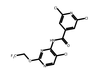 O=C(Nc1nc(OCC(F)(F)F)ncc1Cl)c1cc(Cl)nc(Cl)c1